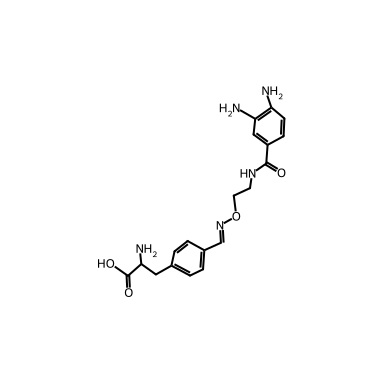 Nc1ccc(C(=O)NCCO/N=C/c2ccc(CC(N)C(=O)O)cc2)cc1N